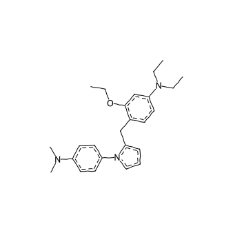 CCOc1cc(N(CC)CC)ccc1Cc1cccn1-c1ccc(N(C)C)cc1